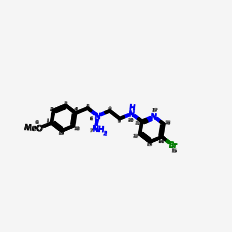 COc1ccc(CN(N)CCNc2ccc(Br)cn2)cc1